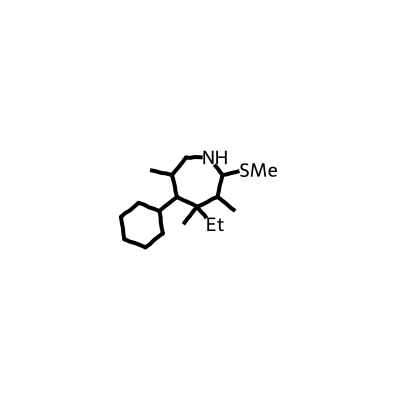 CCC1(C)C(C)C(SC)NCC(C)C1C1CCCCC1